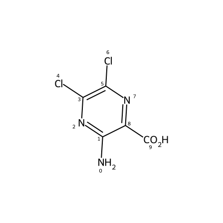 Nc1nc(Cl)c(Cl)nc1C(=O)O